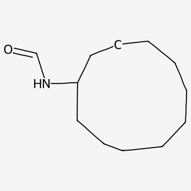 O=CNC1CCCCCCCCCC1